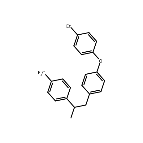 CCc1ccc(Oc2ccc(CC(C)c3ccc(C(F)(F)F)cc3)cc2)cc1